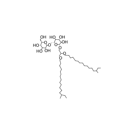 CCC(C)CCCCCCCCCCCCCOCC(CO[C@@H]1O[C@H](CO[C@@H]2O[C@H](CO)[C@@H](O)[C@H](O)[C@H]2O)[C@@H](O)[C@H](O)[C@H]1O)OCCCCCCCCCCCCCC(C)CC